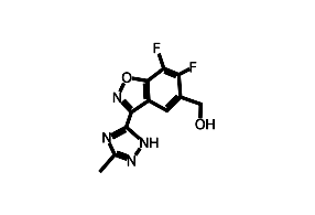 Cc1n[nH]c(-c2noc3c(F)c(F)c(CO)cc23)n1